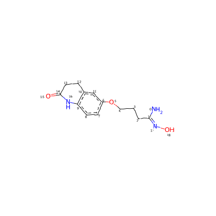 N/C(CCCOc1ccc2c(c1)CCC(=O)N2)=N\O